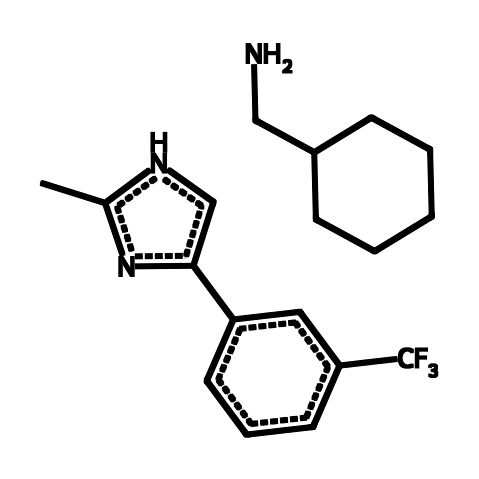 Cc1nc(-c2cccc(C(F)(F)F)c2)c[nH]1.NCC1CCCCC1